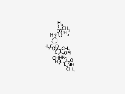 C=Cc1cc(C(O)NCc2c(C)cc(C)[nH]c2=O)c(C)c2c1OC(C)([C@H]1CC[C@H](NC(=O)OC(C)(C)C)CC1)O2